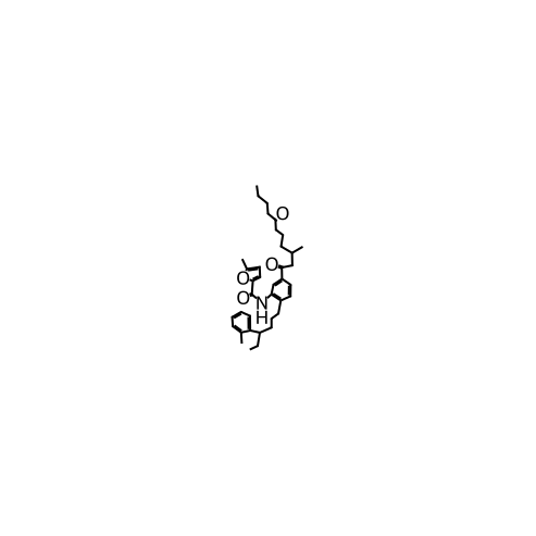 CCCCC(=O)CCCC(C)CC(=O)c1ccc(CCCC(CC)c2ccccc2C)c(NC(=O)c2ccc(C)o2)c1